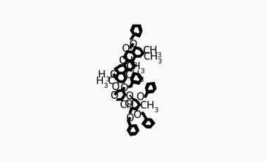 C[C@@H]1CO[C@@H](O[C@H]2CC[C@@]3(C)C(CC[C@]4(C)C3CC=C3C5CC(C)(C)CC[C@]5(C(=O)OCc5ccccc5)CC[C@]34C)C2(C)C)C(OCc2ccccc2)[C@H]1O[C@@H]1OC(COCc2ccccc2)[C@H](OCc2ccccc2)[C@H](C)C1OCc1ccccc1